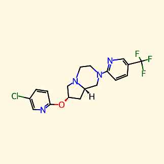 FC(F)(F)c1ccc(N2CCN3C[C@H](Oc4ccc(Cl)cn4)C[C@H]3C2)nc1